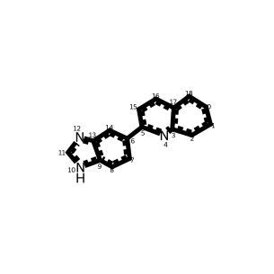 c1ccc2nc(-c3ccc4[nH]cnc4c3)ccc2c1